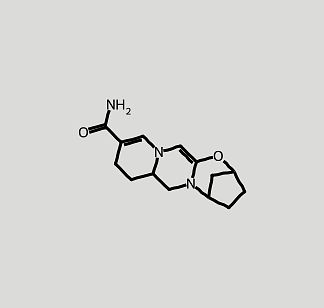 NC(=O)C1=CN2C=C3OC4CCC(C4)N3CC2CC1